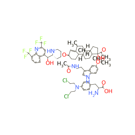 CC(=O)[C@@]1(O)CC[C@H]2[C@@H]3C[C@H](C)C4=CC(=O)CC[C@]4(C)[C@H]3CC[C@@]21C.COc1ccc2[nH]cc(CCNC(C)=O)c2c1.N[C@@H](Cc1ccc(N(CCCl)CCCl)cc1)C(=O)O.O[C@@H](c1cc(C(F)(F)F)nc2c(C(F)(F)F)cccc12)[C@H]1CCCCN1